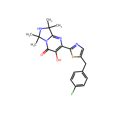 CC1(C)NC(C)(C)n2c1nc(-c1ncc(Cc3ccc(F)cc3)s1)c(O)c2=O